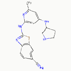 Cc1cc(NC2CCNC2)cc(Nc2nc3ccc(C#N)cc3s2)n1